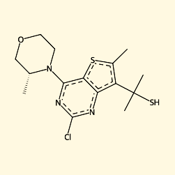 Cc1sc2c(N3CCOC[C@H]3C)nc(Cl)nc2c1C(C)(C)S